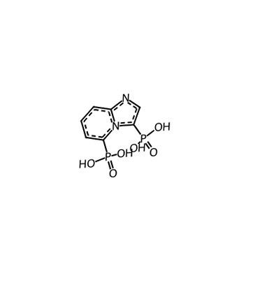 O=P(O)(O)c1cccc2ncc(P(=O)(O)O)n12